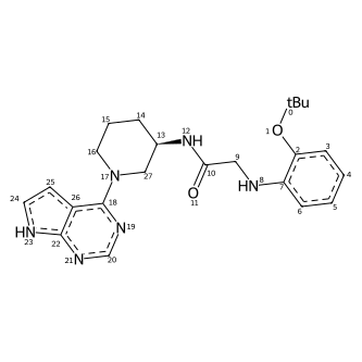 CC(C)(C)Oc1ccccc1NCC(=O)N[C@@H]1CCCN(c2ncnc3[nH]ccc23)C1